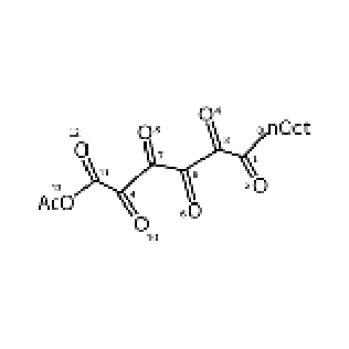 CCCCCCCCC(=O)C(=O)C(=O)C(=O)C(=O)C(=O)OC(C)=O